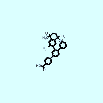 Cc1cc2c(cc1-c1cc(-c3ccc(C(=O)O)cc3)ccc1-c1ccccc1)C(C)(C)CCC2(C)C